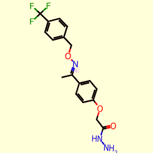 C/C(=N\OCc1ccc(C(F)(F)F)cc1)c1ccc(OCC(=O)NN)cc1